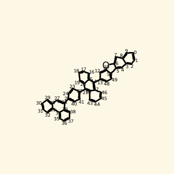 c1ccc2cc3c(cc2c1)oc1cc(-c2c4ccccc4c(-c4ccc(-c5cc6ccccc6c6ccccc56)cc4)c4ccccc24)ccc13